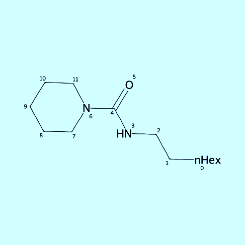 CCCCCCCCNC(=O)N1CCCCC1